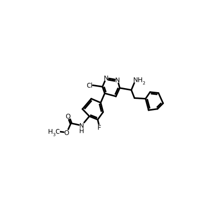 COC(=O)Nc1ccc(-c2cc(C(N)Cc3ccccc3)nnc2Cl)cc1F